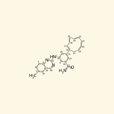 Cc1ccc2nc(Nc3cc(C(N)=O)cc(/C4=C/C=C/C=C/C=C=CC4)c3)ncc2c1